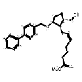 COC(=O)CCC/C=C\C[C@@H]1[C@@H](CO)CC[C@@H]1OCc1ccc(-c2ccccc2)cc1